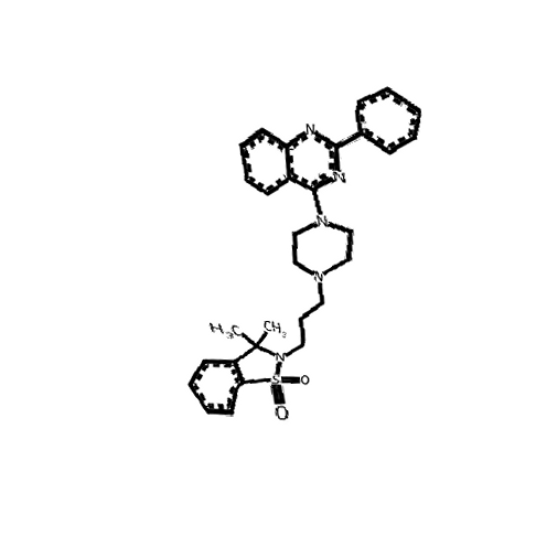 CC1(C)c2ccccc2S(=O)(=O)N1CCCN1CCN(c2nc(-c3ccccc3)nc3ccccc23)CC1